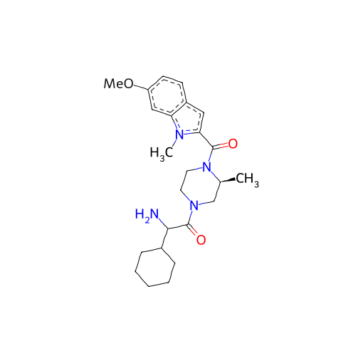 COc1ccc2cc(C(=O)N3CCN(C(=O)C(N)C4CCCCC4)C[C@@H]3C)n(C)c2c1